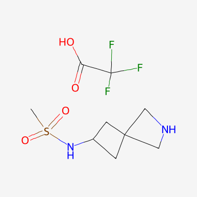 CS(=O)(=O)NC1CC2(CNC2)C1.O=C(O)C(F)(F)F